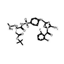 CB(O)N[C@@H](CC(=O)OC(C)(C)C)C(=O)NS(=O)(=O)c1ccc(Nc2nc(N)n(C(=O)c3c(F)cccc3F)n2)cc1